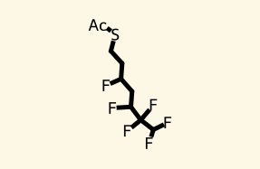 CC(=O)SCCC(F)CC(F)C(F)(F)C(F)F